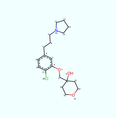 OC1(COc2cc(CCCN3CCCC3)ccc2Cl)CCOCC1